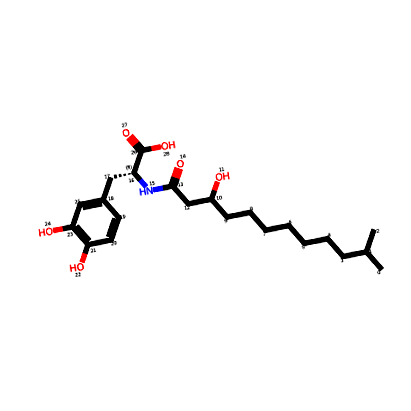 CC(C)CCCCCCCC(O)CC(=O)N[C@H](Cc1ccc(O)c(O)c1)C(=O)O